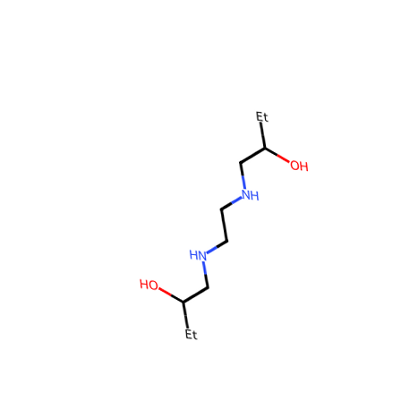 CCC(O)CNCCNCC(O)CC